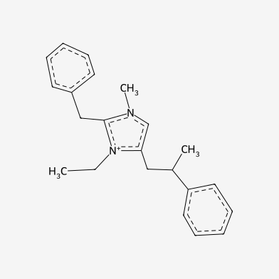 CC[n+]1c(CC(C)c2ccccc2)cn(C)c1Cc1ccccc1